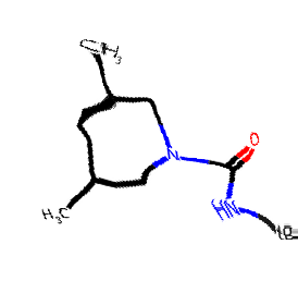 CC1CC(C)CN(C(=O)NC(C)(C)C)C1